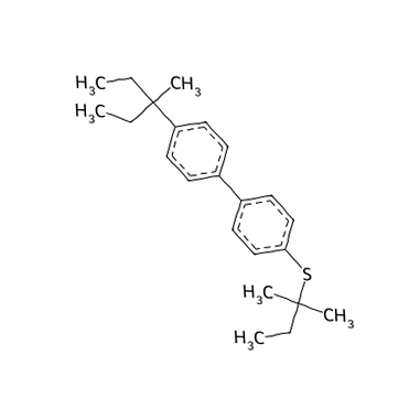 CCC(C)(C)Sc1ccc(-c2ccc(C(C)(CC)CC)cc2)cc1